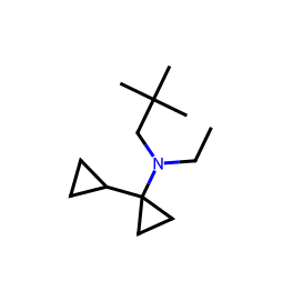 CCN(CC(C)(C)C)C1(C2CC2)CC1